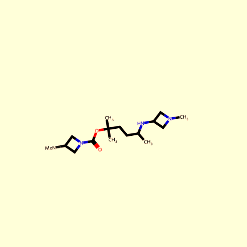 CNC1CN(C(=O)OC(C)(C)CCC(C)NC2CN(C)C2)C1